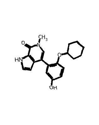 Cn1cc(-c2cc(O)ccc2OC2CCCCC2)c2cc[nH]c2c1=O